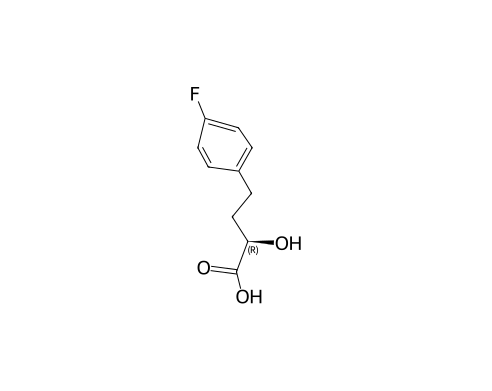 O=C(O)[C@H](O)CCc1ccc(F)cc1